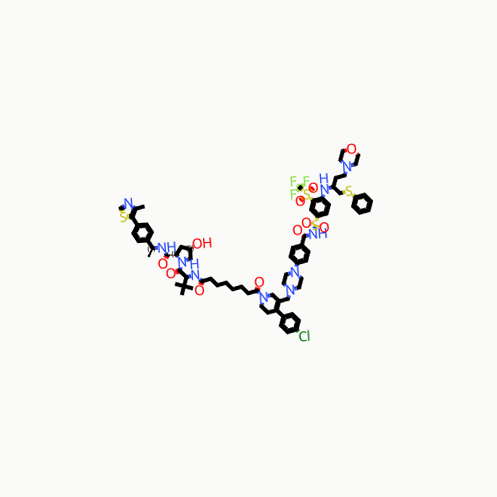 Cc1ncsc1-c1ccc([C@H](C)NC(=O)[C@@H]2C[C@@H](O)CN2C(=O)C(NC(=O)CCCCCCC(=O)N2CCC(c3ccc(Cl)cc3)=C(CN3CCN(c4ccc(C(=O)NS(=O)(=O)c5ccc(NC(CCN6CCOCC6)CSc6ccccc6)c(S(=O)(=O)C(F)(F)F)c5)cc4)CC3)C2)C(C)(C)C)cc1